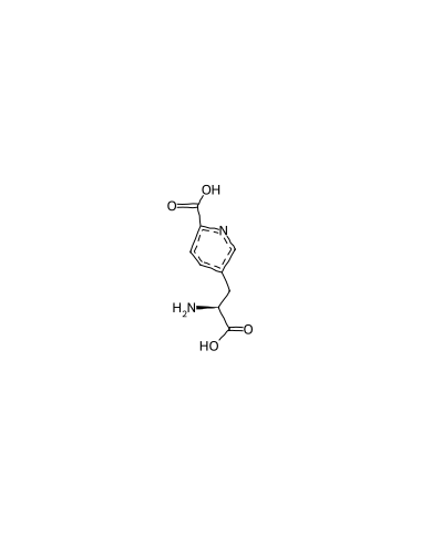 N[C@@H](Cc1ccc(C(=O)O)nc1)C(=O)O